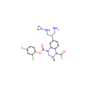 CC(=O)N1c2ccc(C(CN)CNC3CC3)cc2N(C(=O)Oc2ccc(F)cc2F)C[C@@H]1C